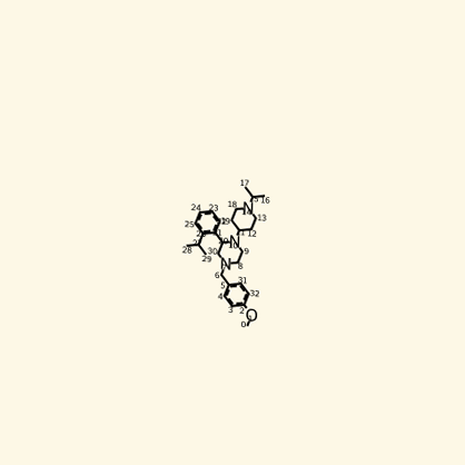 COc1ccc(CN2CCN(C3CCN(C(C)C)CC3)C(c3ccccc3C(C)C)C2)cc1